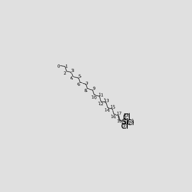 CCCCCCCCCCCCCCCCCC=C[Si](Cl)(Cl)Cl